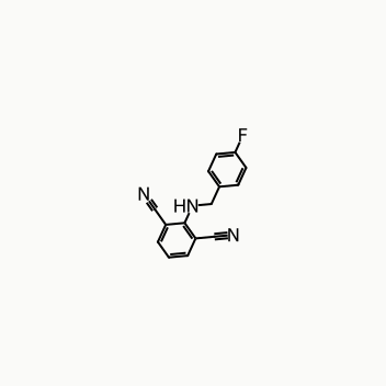 N#Cc1cccc(C#N)c1NCc1ccc(F)cc1